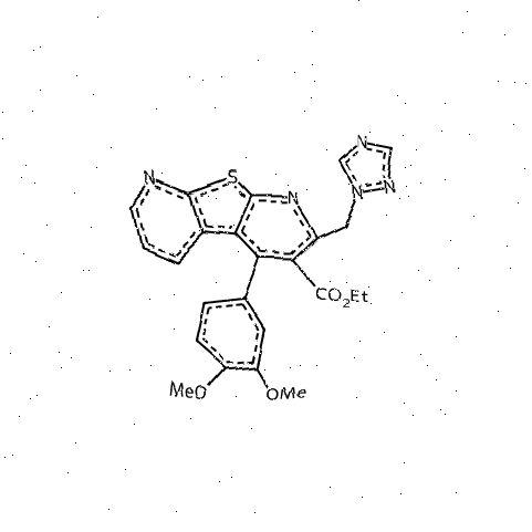 CCOC(=O)c1c(Cn2cncn2)nc2sc3ncccc3c2c1-c1ccc(OC)c(OC)c1